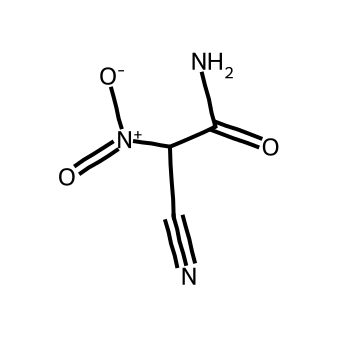 N#CC(C(N)=O)[N+](=O)[O-]